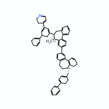 C[C@@H]1c2cc(-c3ccc4c(c3)C3=C(CCC=C3)[C@H](CC3=CC=C(c5ccccc5)CC3)CC4)ccc2-c2ccccc2CC1C1=CC(C2=CC=NCC2)=CC(C2=CCCC=C2)C1